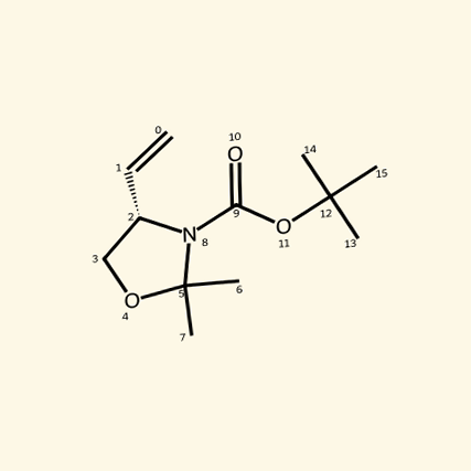 C=C[C@H]1COC(C)(C)N1C(=O)OC(C)(C)C